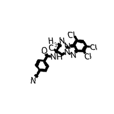 CC(C#N)(Cn1nc2c(Cl)cc(Cl)c(Cl)c2n1)NC(=O)c1ccc(C#N)cc1